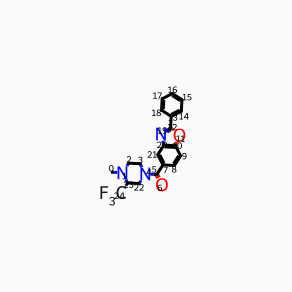 CN1CCN(C(=O)c2ccc3oc(-c4ccccc4)nc3c2)CC1C(F)(F)F